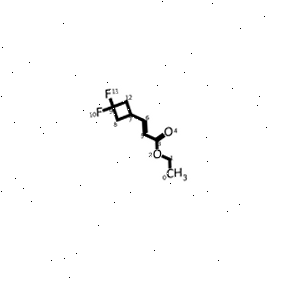 CCOC(=O)C=CC1CC(F)(F)C1